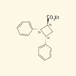 CCOC(=O)[C@H]1C[C@H](c2ccccc2)[C@@H]1c1ccccc1